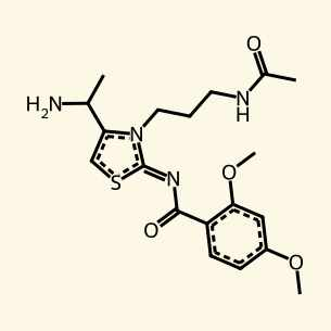 COc1ccc(C(=O)/N=c2\scc(C(C)N)n2CCCNC(C)=O)c(OC)c1